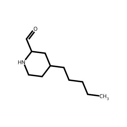 CCCCCC1CCNC(C=O)C1